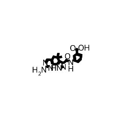 CC1(C)Cc2cnc(N)nc2-c2[nH]nc(C(=O)Nc3cccc(C(=O)O)c3)c21